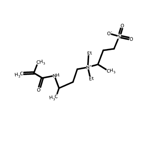 C=C(C)C(=O)NC(C)CC[N+](CC)(CC)C(C)CCS(=O)(=O)[O-]